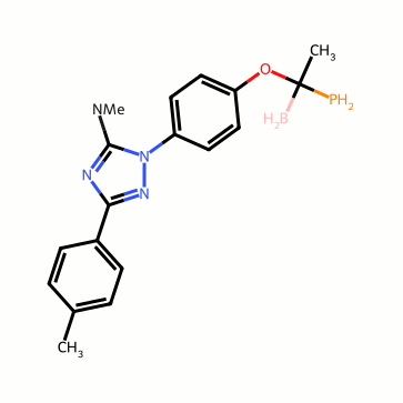 BC(C)(P)Oc1ccc(-n2nc(-c3ccc(C)cc3)nc2NC)cc1